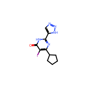 O=c1[nH]c(-c2cnn[nH]2)nc(C2CCCC2)c1I